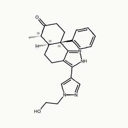 C[C@@H]1C(=O)CC[C@]2(c3ccccc3)c3n[nH]c(-c4cnn(CCO)c4)c3CC[C@@H]12